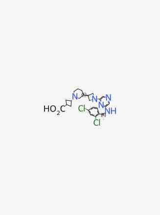 C[C@@H](Nc1cncc(N2CC([C@@H]3CCCN([C@H]4C[C@H](C(=O)O)C4)C3)C2)n1)c1ccc(Cl)cc1Cl